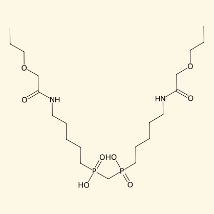 CCCOCC(=O)NCCCCCP(=O)(O)CP(=O)(O)CCCCCNC(=O)COCCC